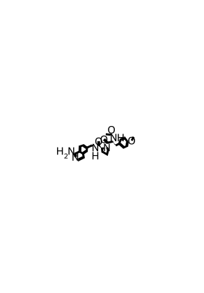 COc1ccc(C[C@@H](NC(C)=O)C(=O)N2CCC[C@H]2C(=O)NCc2ccc3c(N)nccc3c2)cc1